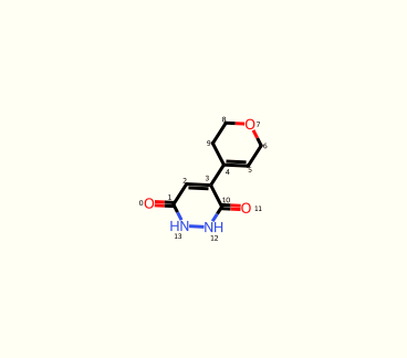 O=c1cc(C2=CCOCC2)c(=O)[nH][nH]1